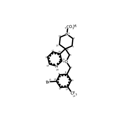 O=C(O)N1CCC(COCc2cc(Br)cc(C(F)(F)F)c2)(c2cccnc2)CC1